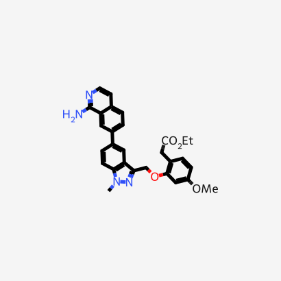 CCOC(=O)Cc1ccc(OC)cc1OCc1nn(C)c2ccc(-c3ccc4ccnc(N)c4c3)cc12